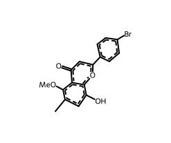 COc1c(C)cc(O)c2oc(-c3ccc(Br)cc3)cc(=O)c12